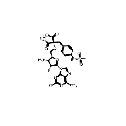 CS(=O)(=O)Nc1ccc(CC(OC[C@H]2O[C@@H](n3cnc4c(N)nc(Cl)nc43)[C@@H](F)[C@@H]2O)(C(=O)O)C(=O)O)cc1